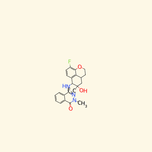 Cn1nc(NC2c3ccc(F)c4c3C(CCO4)CC2(O)C(F)(F)F)c2ccccc2c1=O